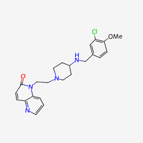 COc1ccc(CNC2CCN(CCn3c(=O)ccc4ncccc43)CC2)cc1Cl